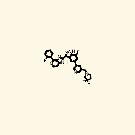 Fc1ccccc1-c1nccc2[nH]c(-c3n[nH]c4c(F)cc(-c5cncc(CN6CCC(F)(F)C6)c5)cc34)nc12